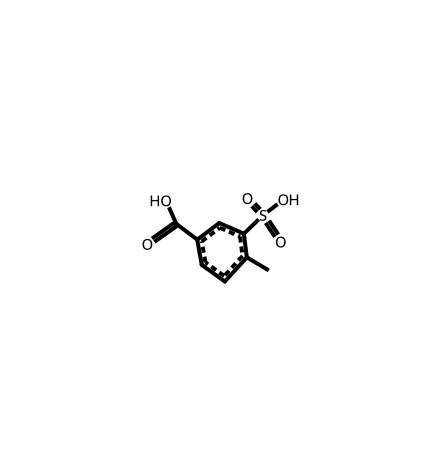 Cc1ccc(C(=O)O)cc1S(=O)(=O)O